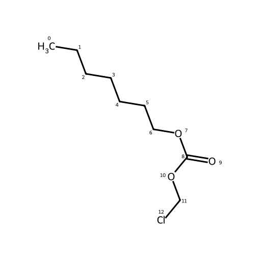 CCCCCCCOC(=O)OCCl